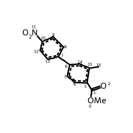 COC(=O)c1ccc(-c2ccc([N+](=O)[O-])cc2)cc1C